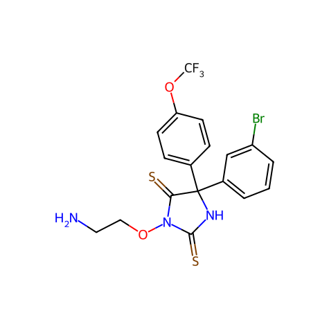 NCCON1C(=S)NC(c2ccc(OC(F)(F)F)cc2)(c2cccc(Br)c2)C1=S